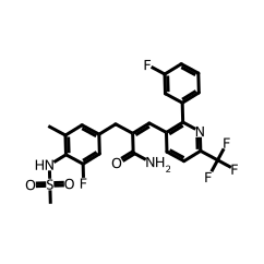 Cc1cc(C/C(=C/c2ccc(C(F)(F)F)nc2-c2cccc(F)c2)C(N)=O)cc(F)c1NS(C)(=O)=O